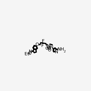 CCON=C1CCc2cc(OCCC(F)(F)CCN3CCN(c4ccnc(N)c4)S3(=O)=O)ccc21